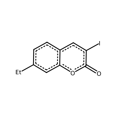 CCc1ccc2cc(I)c(=O)oc2c1